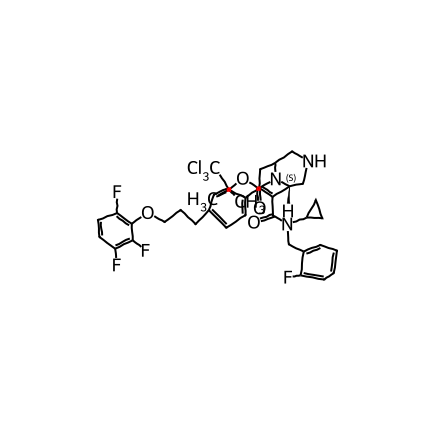 CC(C)(OC(=O)N1C2CNC[C@@H]1C(C(=O)N(Cc1ccccc1F)C1CC1)=C(c1ccc(CCCOc3c(F)ccc(F)c3F)cc1)C2)C(Cl)(Cl)Cl